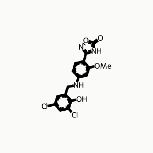 COc1cc(NCc2cc(Cl)cc(Cl)c2O)ccc1-c1noc(=O)[nH]1